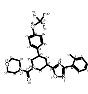 Cc1ccccc1-c1noc(C2CC(c3ccc(OC(F)(F)F)cc3)CN(C(=O)N3CCOCC3)C2)n1